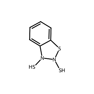 SN1Sc2ccccc2N1S